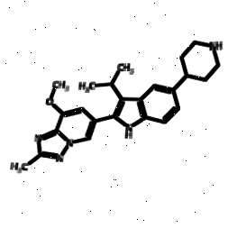 COc1cc(-c2[nH]c3ccc(C4CCNCC4)cc3c2C(C)C)cn2nc(C)nc12